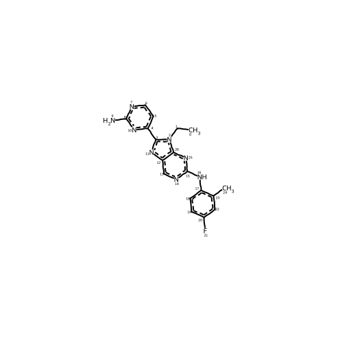 CCn1c(-c2ccnc(N)n2)nc2cnc(Nc3ccc(F)cc3C)nc21